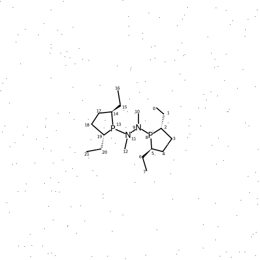 CC[C@@H]1CC[C@@H](CC)P1N(C)N(C)P1[C@H](CC)CC[C@H]1CC